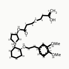 C=C(O)CCCCCC(=O)O[C@@H]1CCN([C@@H]2CCCC[C@H]2OCCc2ccc(OC)c(OC)c2)C1